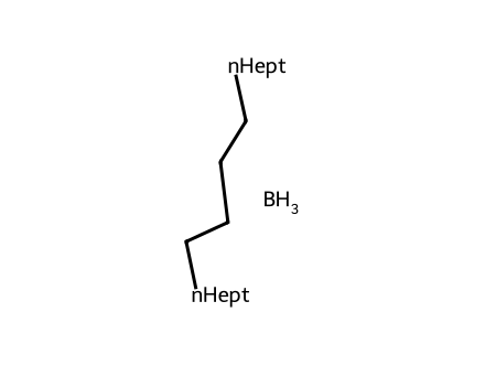 B.CCCCCCCCCCCCCCCCCC